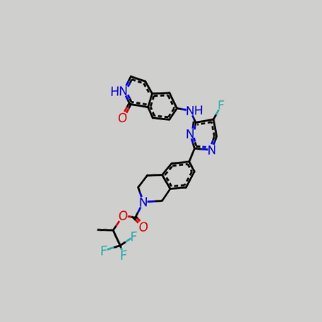 CC(OC(=O)N1CCc2cc(-c3ncc(F)c(Nc4ccc5c(=O)[nH]ccc5c4)n3)ccc2C1)C(F)(F)F